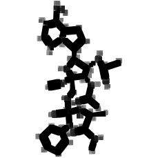 C#[N+][C@]1(COP(=O)(N[C@@H](C)C(=O)OC)Oc2ccccc2)O[C@@H](c2ccc3c(N)ncnn23)[C@H](OC(C)=O)[C@@H]1OC(C)=O